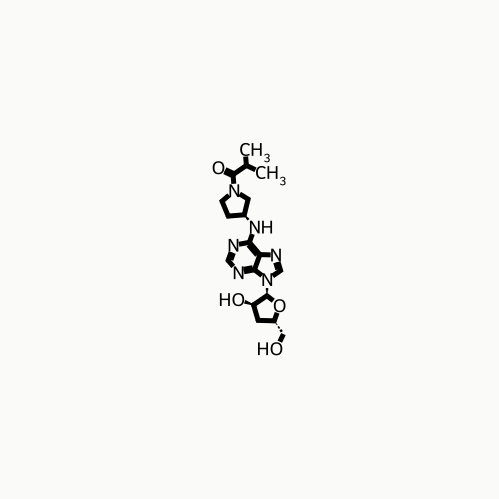 CC(C)C(=O)N1CC[C@@H](Nc2ncnc3c2ncn3[C@@H]2O[C@H](CO)C[C@H]2O)C1